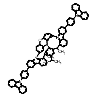 CC(C)c1cc2c3c(c1)C(C)c1cccc4c5cc(-c6ccc(-n7c8ccccc8c8ccccc87)cc6)ccc5n(c14)-c1ccc4c(c1)B3c1cc(ccc1O4)-n1c3ccc(-c4ccc(-n5c6ccccc6c6ccccc65)cc4)cc3c3cccc(c31)C2C